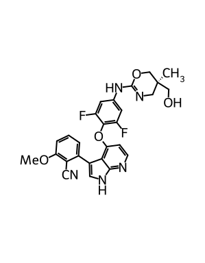 COc1cccc(-c2c[nH]c3nccc(Oc4c(F)cc(NC5=NC[C@](C)(CO)CO5)cc4F)c23)c1C#N